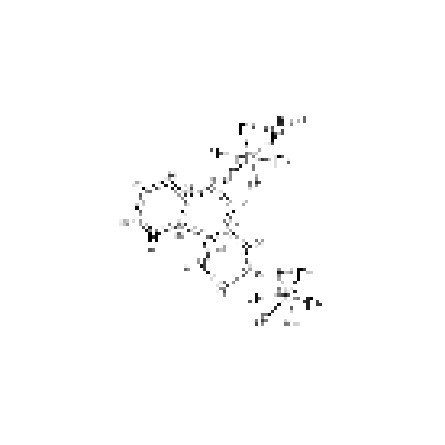 F[P-](F)(F)(F)(F)F.F[P-](F)(F)(F)(F)F.[Ru+2].c1cnc2c(c1)ccc1cccnc12